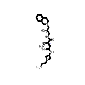 N=C(/C=C(\NN)C(=O)NC[C@H](O)CN1CCc2ccccc2C1)NC1CN(CCN)C1